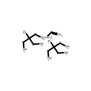 C=CC(=O)O.CCC(CO)(CO)CO.CCC(CO)(CO)CO